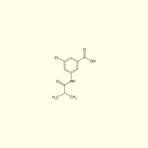 CC(C)C(=O)Nc1cc(Cl)cc(C(=O)O)c1